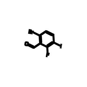 O=Cc1c(Br)ccc(I)c1F